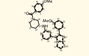 COc1ccc(C(=O)N2CCC[C@@H](Nc3nccc(-c4c(-c5cccc(OC)c5)nc5sccn45)n3)C2)cc1